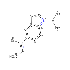 CCCC(CCC)n1ccc2cc(/C(=C/C(=O)O)CC)ccc21